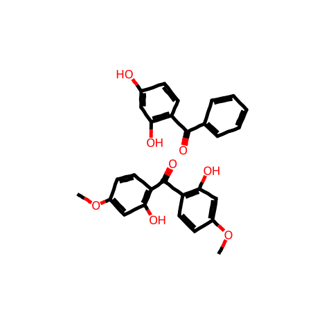 COc1ccc(C(=O)c2ccc(OC)cc2O)c(O)c1.O=C(c1ccccc1)c1ccc(O)cc1O